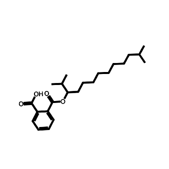 CC(C)CCCCCCCCC(OC(=O)c1ccccc1C(=O)O)C(C)C